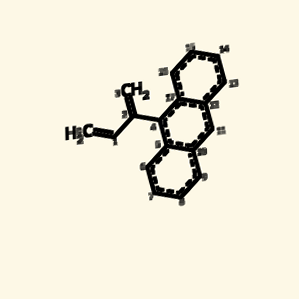 C=CC(=C)c1c2ccccc2cc2ccccc12